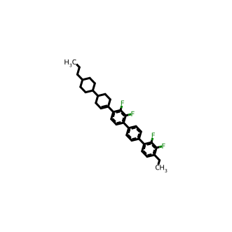 CCCC1CCC(C2CC=C(c3ccc(-c4ccc(-c5ccc(CC)c(F)c5F)cc4)c(F)c3F)CC2)CC1